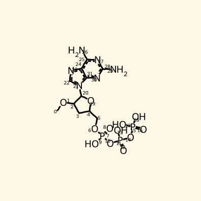 COC1CC(COP(=O)(O)OP(=O)(O)OP(=O)(O)O)OC1n1cnc2c(N)nc(N)nc21